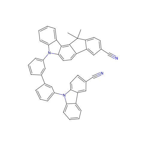 CC1(C)c2ccc(C#N)cc2-c2ccc3c(c21)c1ccccc1n3-c1cccc(-c2cccc(-n3c4ccccc4c4cc(C#N)ccc43)c2)c1